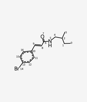 CCC(C)CNC(=O)/C=C/c1ccc(Br)cc1